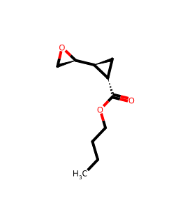 CCCCOC(=O)[C@H]1C[C@@H]1[C@H]1CO1